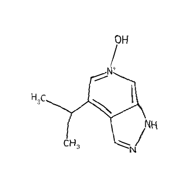 CC(C)c1c[n+](O)cc2[nH]ncc12